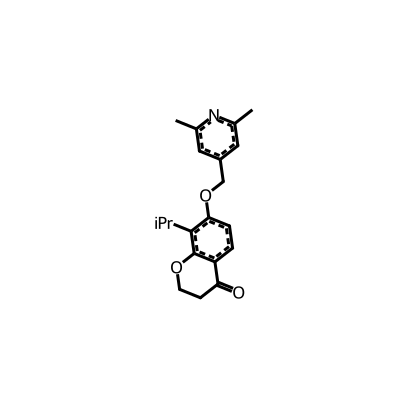 Cc1cc(COc2ccc3c(c2C(C)C)OCCC3=O)cc(C)n1